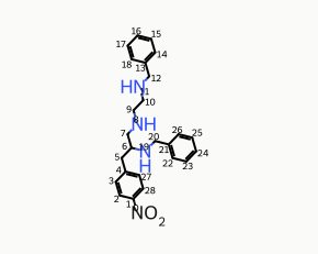 O=[N+]([O-])c1ccc(CC(CNCCNCc2ccccc2)NCc2ccccc2)cc1